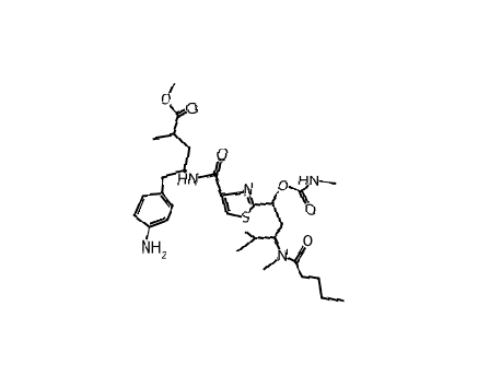 CCCCC(=O)N(C)C(CC(OC(=O)NC)c1nc(C(=O)NC(Cc2ccc(N)cc2)CC(C)C(=O)OC)cs1)C(C)C